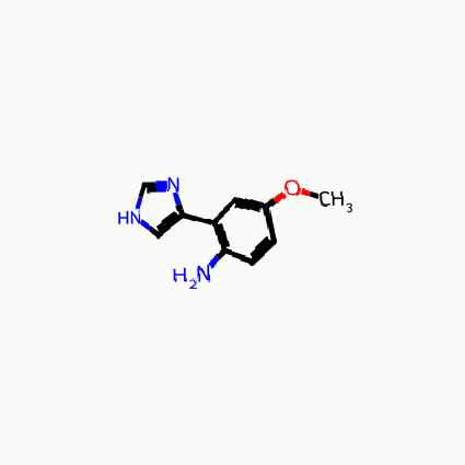 COc1ccc(N)c(-c2c[nH]cn2)c1